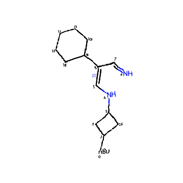 CCCCC1CC(N/C=C(\C=N)C2CCCCC2)C1